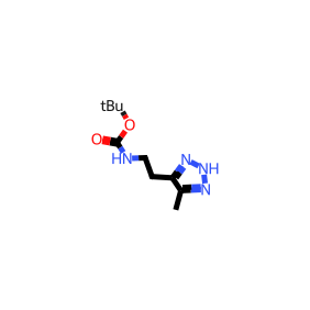 Cc1n[nH]nc1CCNC(=O)OC(C)(C)C